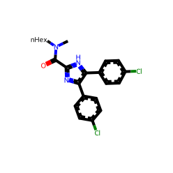 CCCCCCN(C)C(=O)c1nc(-c2ccc(Cl)cc2)c(-c2ccc(Cl)cc2)[nH]1